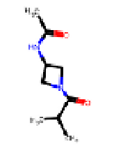 CC(=O)NC1CN(C(=O)C(C)C)C1